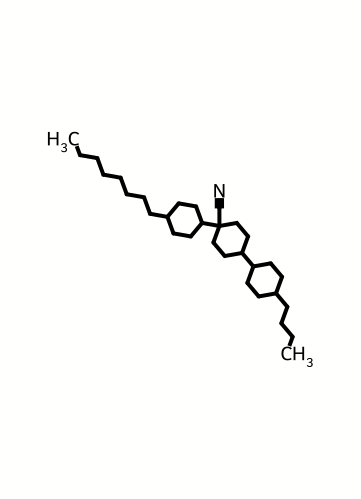 CCCCCCCCC1CCC(C2(C#N)CCC(C3CCC(CCCC)CC3)CC2)CC1